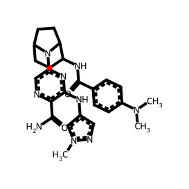 CN(C)c1ccc(C(=O)NC2CCC3CCC2N3c2cnc(C(N)=O)c(Nc3cnn(C)c3)n2)cc1